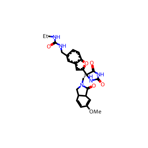 CCNC(=O)NCc1ccc2oc([C@]3(CN4CC5C=CC(OC)=CC5C4=O)NC(=O)NC3=O)cc2c1